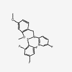 COc1ccc(CN(Sc2c(F)cc(F)cc2F)c2ccc(F)cn2)c(OC)c1